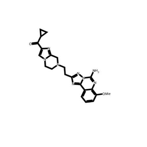 COc1cccc2c1nc(N)n1nc(CCN3CCn4cc(C(=O)C5CC5)nc4C3)nc21